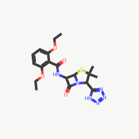 CCOc1cccc(OCC)c1C(=O)NC1C(=O)N2C1SC(C)(C)C2c1nnn[nH]1